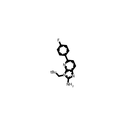 CC(C)(C)Cn1c(N)nc2ccc(-c3[c]cc(F)cc3)nc21